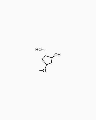 COC1C[C@H](O)[C@@H](CO)S1